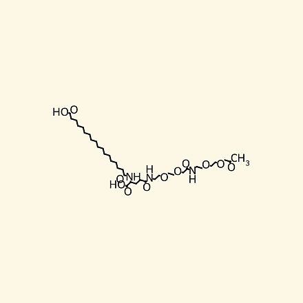 CC(=O)COCCOCCNC(=O)COCCOCCNC(=O)CCC(NC(=O)CCCCCCCCCCCCCCCCC(=O)O)C(=O)O